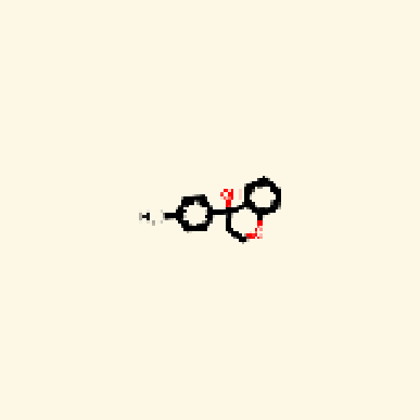 Cc1ccc(C2(O)CCOc3ccccc32)cc1